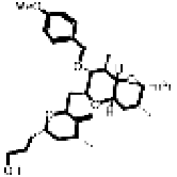 C=C1C(C[C@@H]2O[C@H]3C[C@@H](C)[C@@H](CCC)O[C@H]3[C@H](C)[C@H]2OCc2ccc(OC)cc2)O[C@@H](CCCO)C[C@H]1C